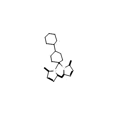 O=C1C=CC(=O)N1C1(N2C(=O)C=CC2=O)CCC(C2CCCCC2)CC1